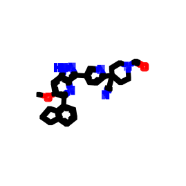 COc1cc2[nH]nc(-c3ccc(C4(C#N)CCN(C=O)CC4)nc3)c2nc1-c1cccc2c1CCC2